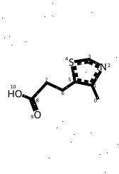 Cc1ncsc1CCC(=O)O